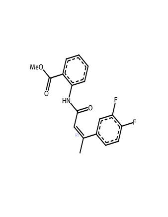 COC(=O)c1ccccc1NC(=O)/C=C(/C)c1ccc(F)c(F)c1